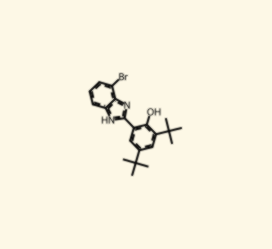 CC(C)(C)c1cc(-c2nc3c(Br)cccc3[nH]2)c(O)c(C(C)(C)C)c1